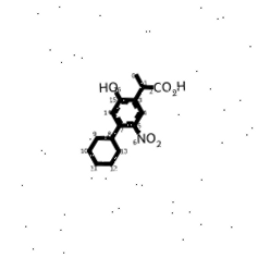 CC(C(=O)O)c1cc([N+](=O)[O-])c(C2CCCCC2)cc1O